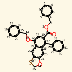 O=C(OCc1ccccc1)c1cc(OCc2ccccc2)c2cc3c(cc2c1-c1ccccc1)OCS3